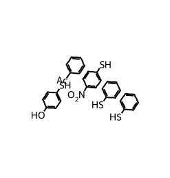 CC(=O)c1ccccc1.O=[N+]([O-])c1ccc(S)cc1.Oc1ccc(S)cc1.Sc1ccccc1.Sc1ccccc1